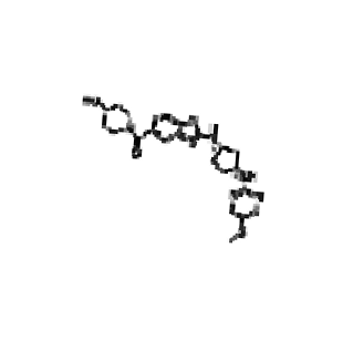 CSc1cnc(N[C@H]2CC[C@H](Nc3nc4ccc(C(=O)N5CCC(O)CC5)cc4s3)C2)nc1